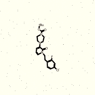 CC(C)(C)OC(=O)N1CCN(c2cccn(CCc3ccc(Cl)cc3F)c2=O)CC1